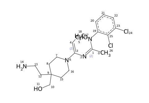 C/C(=N/C(=C\C=O)N1CCC(CO)(CCN)CC1)N(C)c1cccc(Cl)c1Cl